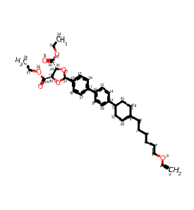 C=COCCCCCCC1CCC(c2ccc(-c3ccc(C4O[C@@H](C(=O)OCC)[C@H](C(=O)OCC)O4)cc3)cc2)CC1